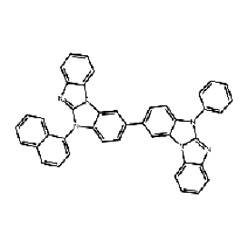 c1ccc(-n2c3ccc(-c4ccc5c(c4)n4c6ccccc6nc4n5-c4cccc5ccccc45)cc3n3c4ccccc4nc23)cc1